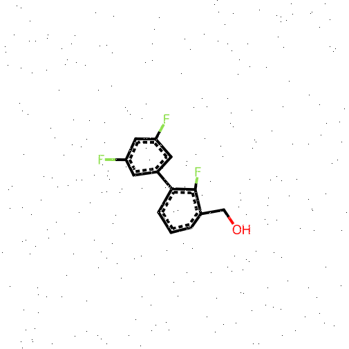 OCc1cccc(-c2cc(F)cc(F)c2)c1F